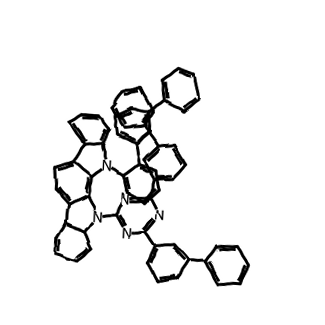 C1=CC2c3ccc4c5ccccc5n(-c5ccccc5-c5cccc(-c6ccccc6)c5)c4c3N(c3nc(-c4cccc(-c5ccccc5)c4)nc(-c4cccc(-c5ccccc5)c4)n3)C2C=C1